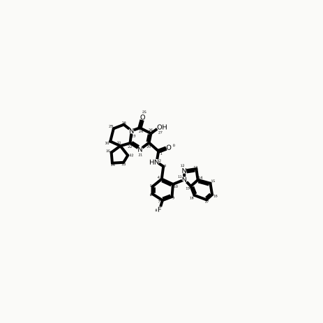 O=C(NCc1ccc(F)cc1-n1ncc2ccccc21)c1nc2n(c(=O)c1O)CCCC21CCCC1